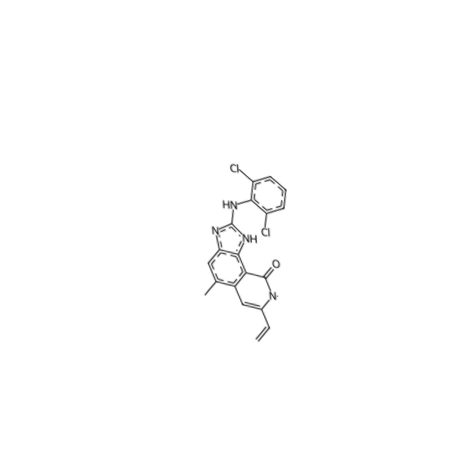 C=CC1=Cc2c(C)cc3nc(Nc4c(Cl)cccc4Cl)[nH]c3c2C(=O)[N]1